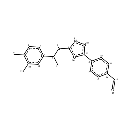 Cc1ccc(C(C)Sc2nnc(-c3ccc(C=O)cc3)o2)cc1C